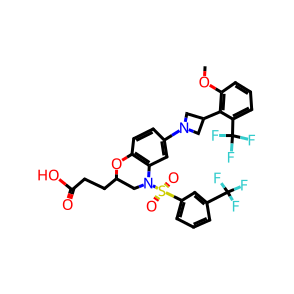 COc1cccc(C(F)(F)F)c1C1CN(c2ccc3c(c2)N(S(=O)(=O)c2cccc(C(F)(F)F)c2)CC(CCC(=O)O)O3)C1